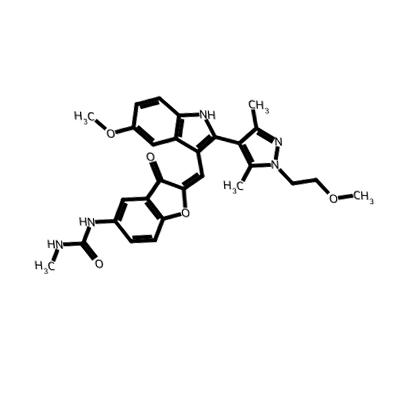 CNC(=O)Nc1ccc2c(c1)C(=O)C(=Cc1c(-c3c(C)nn(CCOC)c3C)[nH]c3ccc(OC)cc13)O2